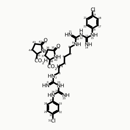 N=C(NCCCCCCNC(=N)NC(=N)Nc1ccc(Cl)cc1)NC(=N)Nc1ccc(Cl)cc1.O=C1CCC(C(=O)O)N1.O=C1CCC(C(=O)O)N1